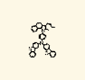 C=C/C=C\c1c(C)n(-c2ccc(N(C3=CC4c5ccccc5SC4C=C3)c3ccc4c(c3)oc3ccccc34)cc2)c2c1ccc1ccccc12